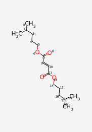 CC(C)CCCOC(=O)C=CC(=O)OCCCC(C)C